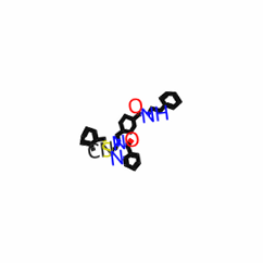 N#Cc1ccccc1CSc1nc2ccccc2c(=O)n1CC1CCC(C(=O)NCCc2ccccc2)CC1